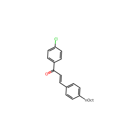 CCCCCCCCc1ccc(C=CC(=O)c2ccc(Cl)cc2)cc1